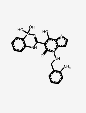 Cc1ccccc1CNn1c(=O)c(C2=NS(O)(O)c3ccccc3N2)c(O)c2sccc21